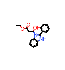 CCOC(=O)CC(O)N1c2ccccc2NC1c1ccccc1